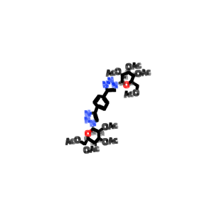 CC(=O)OC[C@H]1O[C@H](n2cc(-c3ccc(-c4cn([C@H]5O[C@H](COC(C)=O)[C@@H](OC(C)=O)[C@H](OC(C)=O)[C@@H]5OC(C)=O)nn4)cc3)nn2)[C@H](OC(C)=O)[C@H](OC(C)=O)[C@@H]1OC(C)=O